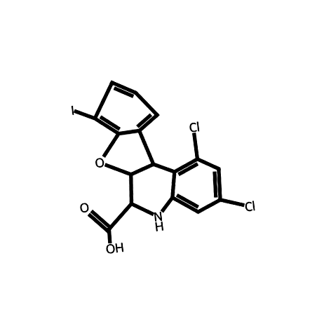 O=C(O)C1Nc2cc(Cl)cc(Cl)c2C2c3cccc(I)c3OC12